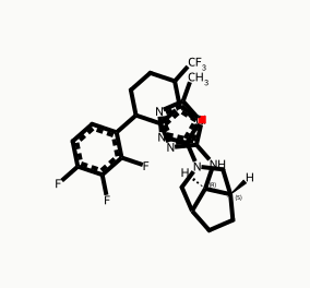 Cc1nnc(N2CC3CC[C@@H](C2)[C@@H]3Nc2nc3n(n2)C(C(F)(F)F)CCC3c2ccc(F)c(F)c2F)o1